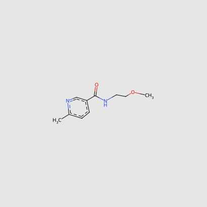 COCCNC(=O)c1ccc(C)nc1